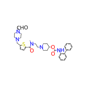 CN(CCN1CCC(OC(=O)Nc2ccccc2-c2ccccc2)CC1)C(=O)c1ccc(CN2CCN(C=O)CC2)s1